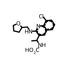 CC(NC(=O)O)c1cc2cccc(Cl)c2nc1NCC1CCCO1